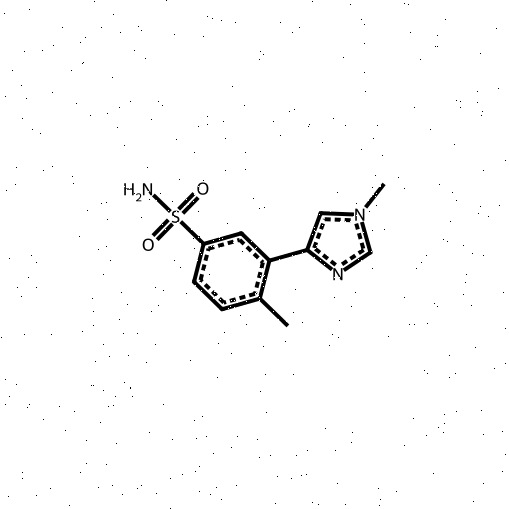 Cc1ccc(S(N)(=O)=O)cc1-c1cn(C)cn1